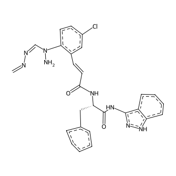 C=N/N=C\N(N)c1ccc(Cl)cc1/C=C/C(=O)N[C@@H](Cc1ccccc1)C(=O)Nc1n[nH]c2ccccc12